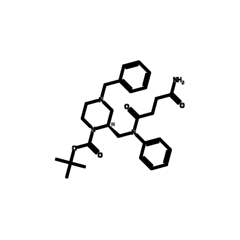 CC(C)(C)OC(=O)N1CCN(Cc2ccccc2)C[C@H]1CN(C(=O)CCC(N)=O)c1ccccc1